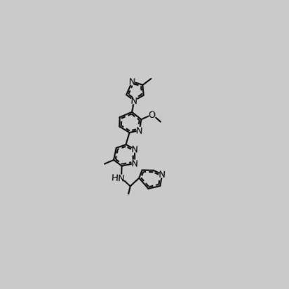 COc1nc(-c2cc(C)c(NC(C)c3ccncc3)nn2)ccc1-n1cnc(C)c1